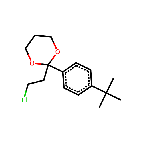 CC(C)(C)c1ccc(C2(CCCl)OCCCO2)cc1